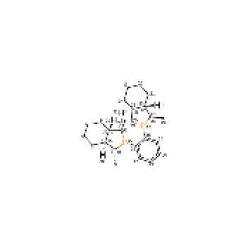 C[C@@H]1[C@H]2CCCC[C@@H]2[C@@H](C)P1c1ccccc1P1[C@H](C)[C@H]2CCCC[C@@H]2[C@H]1C